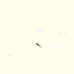 CCCN1CCCC[C@H]1C(=S)Nc1c(C)cccc1C.Cl